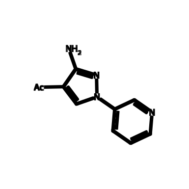 CC(=O)c1cn(-c2cccnc2)nc1N